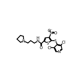 O=C(NCCCN1CCCC1)c1cc([N+](=O)[O-])c(Sc2c(Cl)cncc2Cl)s1